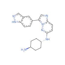 N[C@H]1CC[C@H](Nc2ccc3ncc(-c4ccc5[nH]ncc5c4)n3n2)CC1